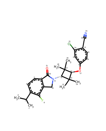 CC(C)c1ccc2c(c1F)CN([C@H]1C(C)(C)[C@H](Oc3ccc(C#N)c(Cl)c3)C1(C)C)C2=O